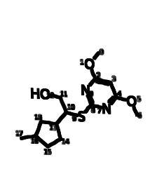 COc1cc(OC)nc(SC(CO)C2CCC(C)C2)n1